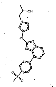 CC(O)Cn1cc(Nc2nc3c(-c4ccc(S(C)(=O)=O)cc4)cccn3n2)cn1